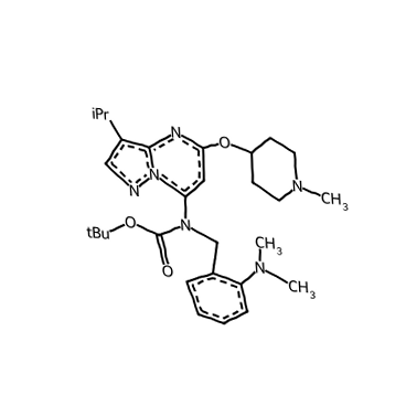 CC(C)c1cnn2c(N(Cc3ccccc3N(C)C)C(=O)OC(C)(C)C)cc(OC3CCN(C)CC3)nc12